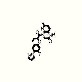 CCC(Oc1ccc(-n2cccn2)c(F)c1)C(=O)N1CC(=O)Nc2ccc(C)nc21